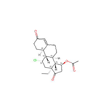 CC[C@]12C[C@H](Cl)[C@H]3[C@@H](CCC4=CC(=O)CC[C@@H]43)[C@@H]1[C@@H](OC(C)=O)CC2=O